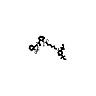 CCC(C)(C)c1ccc(OCCCCCC(=O)Nc2ccccc2-c2c[nH]c(-c3ccccc3[N+](=O)[O-])n2)c(C(C)(C)CC)c1